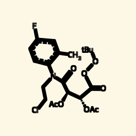 CC(=O)O[C@@H](C(=O)OOC(C)(C)C)[C@@H](OC(C)=O)C(=O)N(CCCl)c1ccc(F)cc1C